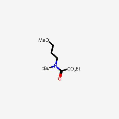 CCOC(=O)C(=O)N(CCCOC)C(C)(C)C